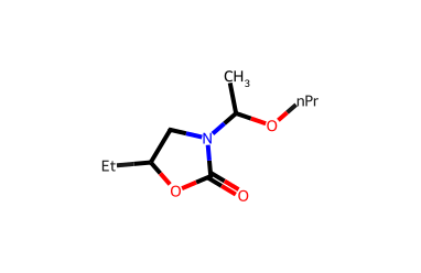 CCCOC(C)N1CC(CC)OC1=O